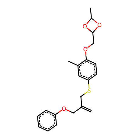 C=C(COc1ccccc1)CSc1ccc(OCC2OC(C)O2)c(C)c1